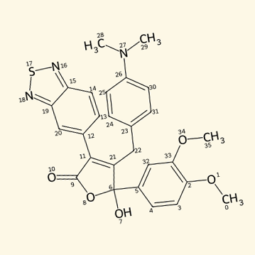 COc1ccc(C2(O)OC(=O)C(c3ccc4nsnc4c3)=C2Cc2ccc(N(C)C)cc2)cc1OC